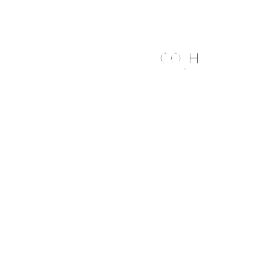 C=CCC(C(=O)O)c1ccccc1